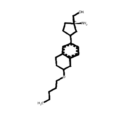 CCCCCOC1CCc2cc(C3CC[C@](N)(CO)C3)ccc2C1